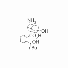 CCCCC(O)c1ccccc1C(=O)O.NC1C2CC3CC1CC(O)(C3)C2